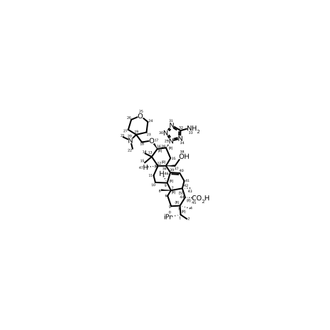 CC(C)[C@@H](C)[C@@]1(C)CC[C@]2(C)[C@H]3CC[C@H]4C(C)(C)[C@@H](OCC5(N(C)C)CCOCC5)[C@H](n5nnc(N)n5)C[C@]4(CO)C3=CC[C@@]2(C)[C@@H]1C(=O)O